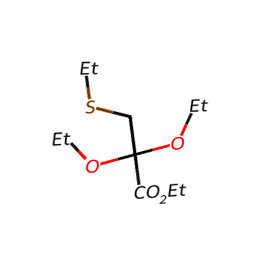 CCOC(=O)C(CSCC)(OCC)OCC